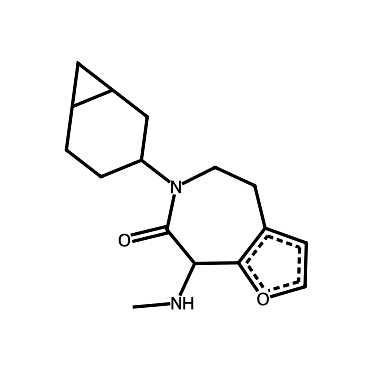 CNC1C(=O)N(C2CCC3CC3C2)CCc2ccoc21